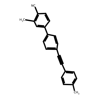 Cc1ccc(C#Cc2ccc(-c3ccc(C#N)c(C)c3)cc2)cc1